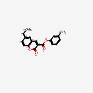 Bc1cccc(OC(=O)c2cc3cc(COC(C)=O)ccc3oc2=O)c1